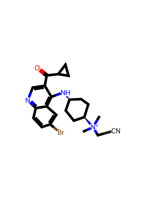 C[N+](C)(CC#N)[C@H]1CC[C@H](Nc2c(C(=O)C3CC3)cnc3ccc(Br)cc23)CC1